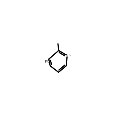 CC1=[N+]C=CC=C1.[Pt]